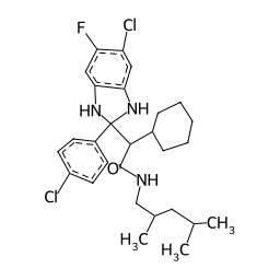 CC(C)CC(C)CNC(=O)C(C1CCCCC1)C1(c2ccc(Cl)cc2)Nc2cc(F)c(Cl)cc2N1